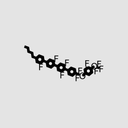 CCCCCc1ccc(-c2ccc(-c3cc(F)c(-c4ccc(C(F)(F)Oc5ccc(OC(F)(F)F)c(F)c5)cc4)c(F)c3)c(F)c2)c(F)c1